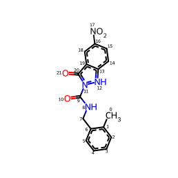 Cc1ccccc1CNC(=O)n1[nH]c2ccc([N+](=O)[O-])cc2c1=O